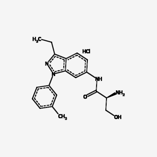 CCc1nn(-c2cccc(C)c2)c2cc(NC(=O)[C@@H](N)CO)ccc12.Cl